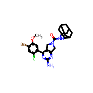 COc1cc(-c2nc(N)nc3c2CN(C(=O)NC24CC5CC(CC(C5)C2)C4)C3)c(Cl)cc1Br